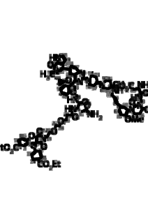 CCOC(=O)c1ccc(OC2=C(Oc3ccc(C(=O)OCC)cc3)C(=O)N(CCOCCOCCC(=O)N[C@@H](CC(N)=O)C(=O)NCOC[C@](OC3CC3)(c3ccccc3)c3nc(N4CCC(N5CCC(C)(NCC#Cc6ccc(OC)c(N7CCC(=O)N(CNC(=O)[C@H](CC(=O)O)NC(C)=O)C7=O)c6)CC5)CC4)nc4ccc(-c5cn(C)c(=O)c6[nH]ccc56)cc34)C2=O)cc1